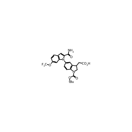 CC(C)(C)OC(=O)N1CC(CC(=O)O)c2cc(-n3c(C(N)=O)cc4ccc(OC(F)(F)F)cc43)ccc21